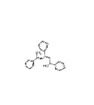 C/C(=C\C(=C/C(O)c1ccccc1)c1ccccc1)c1ccccc1